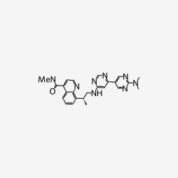 CNC(=O)c1ccnc2c([C@H](C)CNc3cc(-c4cnc(N(C)C)nc4)ncn3)cccc12